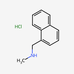 CNCc1cccc2ccccc12.Cl